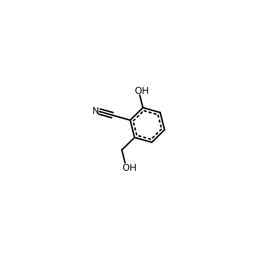 N#Cc1c(O)cccc1CO